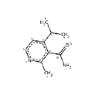 Cc1nccc(C(C)C)c1C(N)=O